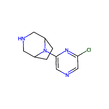 Clc1cncc(N2C3CCC2CNC3)n1